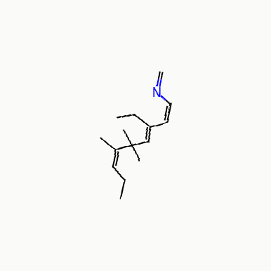 C=N/C=C\C(=C\C(C)(C)/C(C)=C\CC)CC